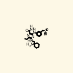 CCc1nc(C(N)=O)c(Nc2cccc(C[SH](=O)=O)c2)nc1NCC1(N)CCCCC1